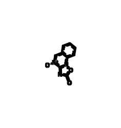 O=c1nc2n(o1)c1ccccc1c[n+]2[O-]